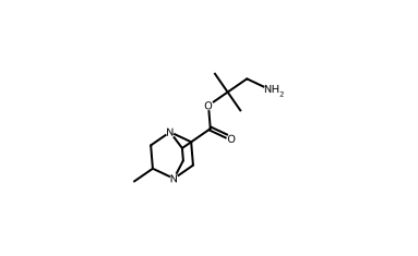 CC1CN2CCN1CC2C(=O)OC(C)(C)CN